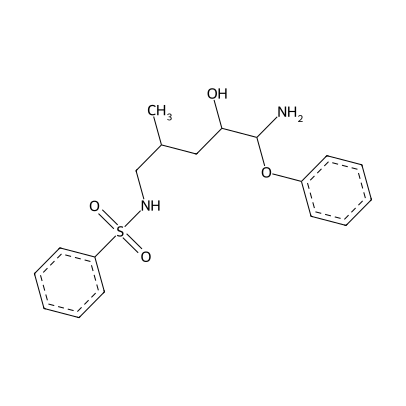 CC(CNS(=O)(=O)c1ccccc1)CC(O)C(N)Oc1ccccc1